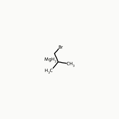 CC(C)CBr.[MgH2]